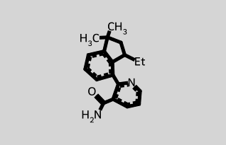 CCC1CC(C)(C)c2cccc(-c3ncccc3C(N)=O)c21